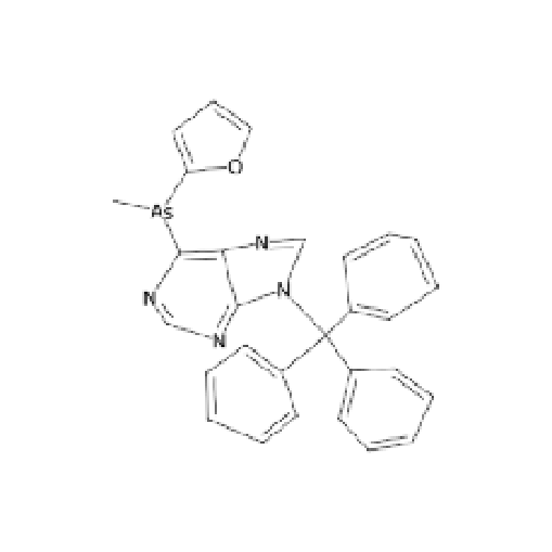 C[As](c1ccco1)c1ncnc2c1ncn2C(c1ccccc1)(c1ccccc1)c1ccccc1